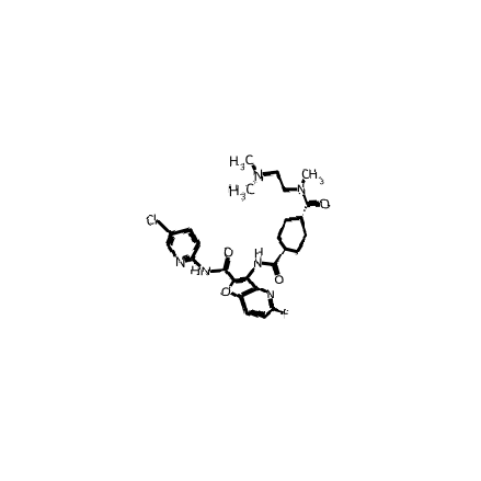 CN(C)CCN(C)C(=O)[C@H]1CC[C@H](C(=O)Nc2c(C(=O)Nc3ccc(Cl)cn3)oc3ccc(F)nc23)CC1